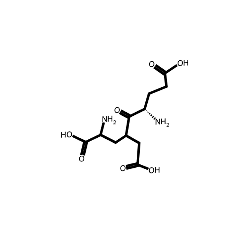 NC(CC(CC(=O)O)C(=O)[C@@H](N)CCC(=O)O)C(=O)O